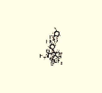 Cc1ccc(F)c(NC(=O)Nc2ccc(-c3c(C(N)=O)n(OC(=O)C(F)(F)F)c4cnccc34)cc2)c1